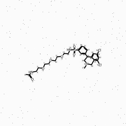 CC(=O)NCCOCCOCCOCCNS(=O)(=O)c1cccc(C2CN(C)Cc3c(Cl)cc(Cl)cc32)c1